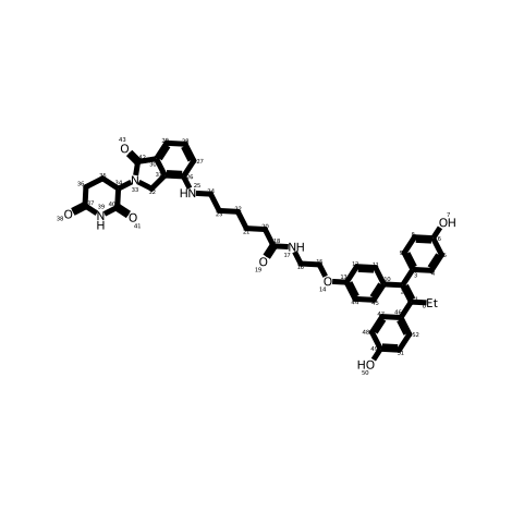 CCC(=C(c1ccc(O)cc1)c1ccc(OCCNC(=O)CCCCCNc2cccc3c2CN(C2CCC(=O)NC2=O)C3=O)cc1)c1ccc(O)cc1